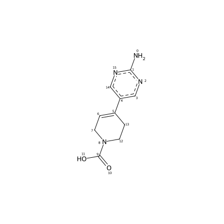 Nc1ncc(C2=CCN(C(=O)O)CC2)cn1